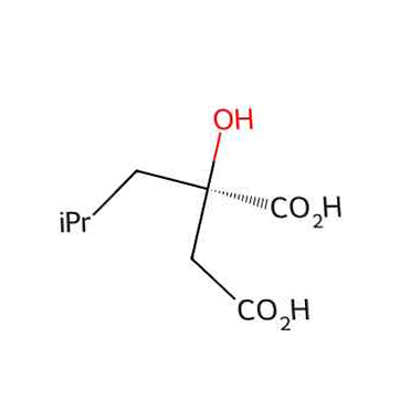 CC(C)C[C@@](O)(CC(=O)O)C(=O)O